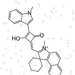 Cn1cc(C2=C(O)/C(=C/C3=[N+](C)c4ccc5ccccc5c4C34CCCCC4)C2=O)c2ccccc21